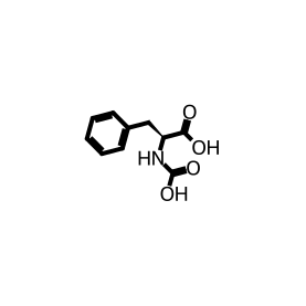 O=C(O)N[C@@H](Cc1ccccc1)C(=O)O